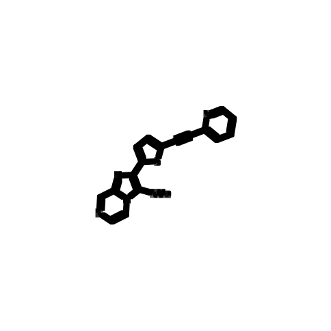 CNc1c(-c2ccc(C#Cc3ccccn3)s2)nc2cnccn12